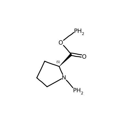 O=C(OP)[C@@H]1CCCN1P